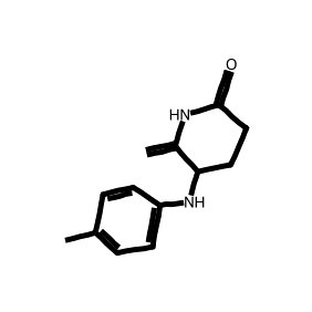 C=C1NC(=O)CCC1Nc1ccc(C)cc1